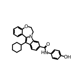 O=C(Nc1ccc(O)cc1)c1ccc2c(C3CCCCC3)c3n(c2c1)CCOc1ccccc1-3